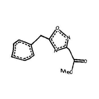 COC(=O)c1noc(Cc2ccccc2)n1